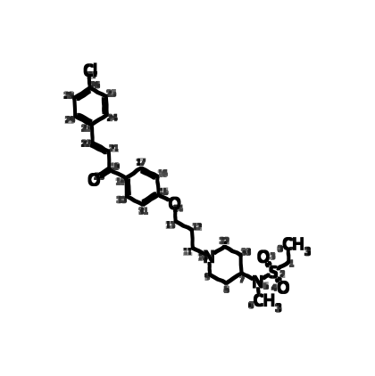 CCS(=O)(=O)N(C)C1CCN(CCCOc2ccc(C(=O)C=Cc3ccc(Cl)cc3)cc2)CC1